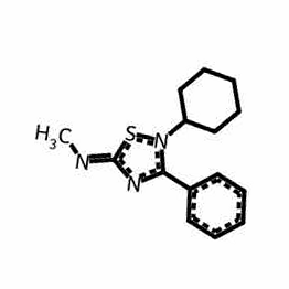 CN=c1nc(-c2ccccc2)n(C2CCCCC2)s1